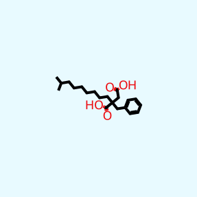 CC(C)CCCCCCCC(CC(=O)O)(Cc1ccccc1)C(=O)O